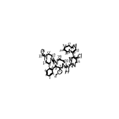 COC1C(c2ccccc2)N(N2CCN(C=O)CC2)CCN1Nc1ncc(Cl)c(-c2cnc3ccccn23)n1